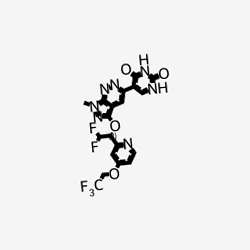 Cn1nc(O[C@H](c2cc(OCC(F)(F)F)ccn2)C(F)F)c2cc(-c3c[nH]c(=O)[nH]c3=O)nnc21